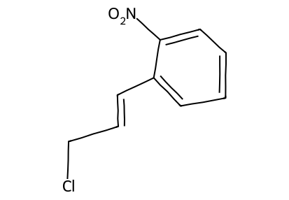 O=[N+]([O-])c1ccccc1C=CCCl